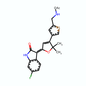 CC(=O)ONCc1cc(C2=C/C(=C3\C(=O)Nc4cc(F)ccc43)OC2(C)C)cs1